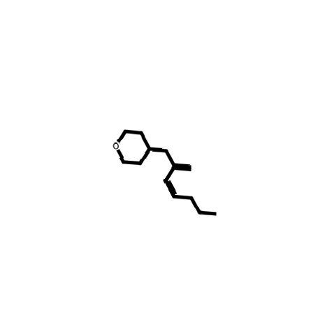 C=C(/C=C\CCC)CC1CCOCC1